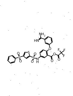 N=C(N)c1cccc(Oc2ccc(NS(=O)(=O)c3cc(S(=O)(=O)c4ccccc4)cs3)cc2C(=O)OC(=O)C(F)(F)F)c1